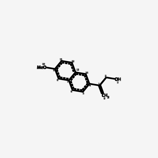 C=C(CO)c1ccc2cc(OC)ccc2c1